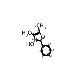 CC1=C(C)N(O)C(c2ccccc2)O1